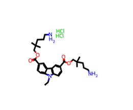 CCn1c2ccc(C(=O)OCC(C)(C)CCCN)cc2c2cc(C(=O)OCC(C)(C)CCCN)ccc21.Cl.Cl